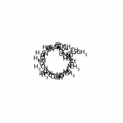 C/C=C/C[C@@H](C)[C@H]1CC(C)[C@H]2C(=O)N(C)[C@@H]1C(=O)N[C@@H](CC)C(=O)N(C)CC(=O)N(C)[C@@H](CC(C)C)C(=O)N[C@@H](C(C)C)C(=O)N(C)[C@@H](CC(C)C)C(=O)N[C@@H](C)C(=O)N[C@H](C)C(=O)N(C)[C@@H](CC(C)C)C(=O)N(C)[C@@H](CC(C)C)C(=O)N2C